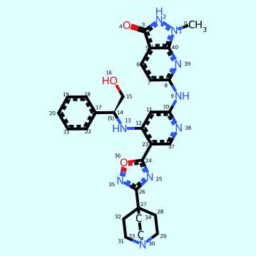 Cn1[nH]c(=O)c2ccc(Nc3cc(N[C@H](CO)c4ccccc4)c(-c4nc(C56CCN(CC5)CC6)no4)cn3)nc21